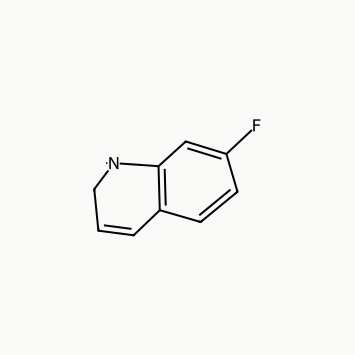 Fc1ccc2c(c1)[N]CC=C2